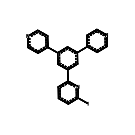 Ic1cccc(-c2cc(-c3ccncc3)cc(-c3ccncc3)c2)n1